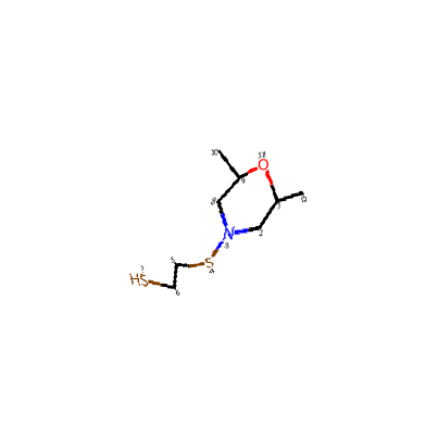 CC1CN(SCCS)CC(C)O1